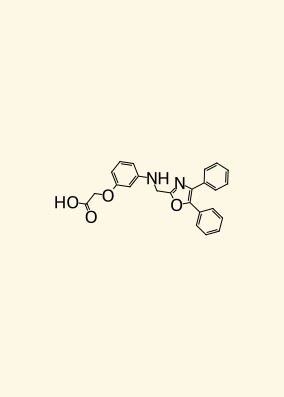 O=C(O)COc1cccc(NCc2nc(-c3ccccc3)c(-c3ccccc3)o2)c1